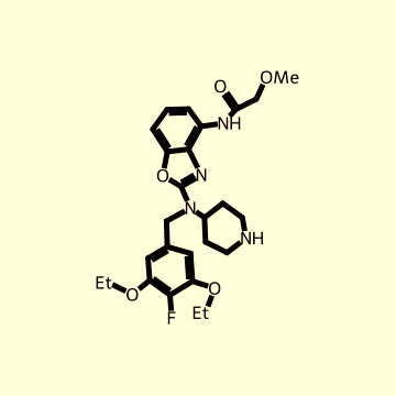 CCOc1cc(CN(c2nc3c(NC(=O)COC)cccc3o2)C2CCNCC2)cc(OCC)c1F